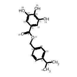 CC(C)c1ccc(COC(=O)c2cc(O)c(O)c(O)c2)cc1